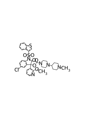 COc1ncccc1C1(OC(=O)N2CCN(C3CCN(C)CC3)CC2)C(=O)N(S(=O)(=O)c2csc3ccccc23)c2ccc(Cl)cc21